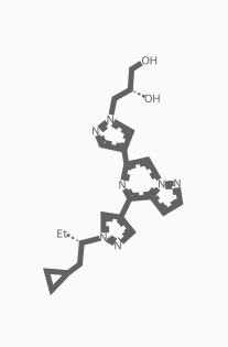 CC[C@@H](CC1CC1)n1cc(-c2nc(-c3cnn(C[C@@H](O)CO)c3)cn3nccc23)cn1